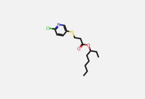 CCCCCC(CC)OC(=O)CCSc1ccc(Cl)nc1